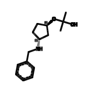 CC(C)(O)O[C@@H]1CC[C@@H](NCc2ccccc2)C1